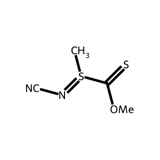 COC(=S)S(C)=NC#N